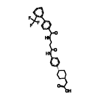 O=C(O)C[C@H]1CC[C@H](c2ccc(NC(=O)CCNC(=O)c3ccc(-c4ccccc4C(F)(F)F)cc3)cc2)CC1